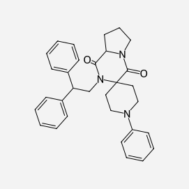 O=C1C2CCCN2C(=O)C2(CCN(c3ccccc3)CC2)N1CC(c1ccccc1)c1ccccc1